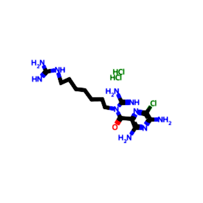 Cl.Cl.N=C(N)NCCCCCCCN(C(=N)N)C(=O)c1nc(Cl)c(N)nc1N